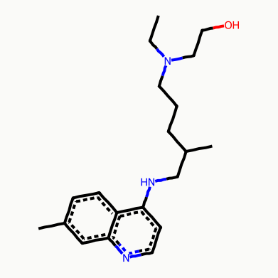 CCN(CCO)CCCC(C)CNc1ccnc2cc(C)ccc12